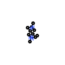 c1ccc(-c2cc(-c3ccccc3-c3ccc(-c4ccc(-c5c(-c6nc(-c7ccccc7)nc(-c7ccccc7)n6)ccc6ccccc56)cc4)cc3)nc(-c3ccccc3)n2)cc1